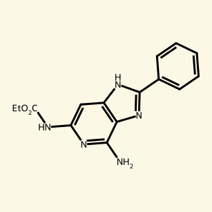 CCOC(=O)Nc1cc2[nH]c(-c3ccccc3)nc2c(N)n1